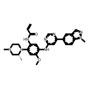 C=CC(=O)Nc1cc(Nc2cc(-c3ccc4c(cnn4C)c3)ncn2)c(OC)cc1N1CCN(C)C[C@H]1C